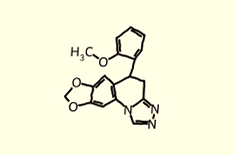 COc1ccccc1C1Cc2nncn2-c2cc3c(cc21)OCO3